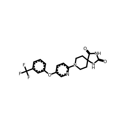 O=C1NC(=O)C2(CCN(c3ccc(Oc4cccc(C(F)(F)F)c4)cn3)CC2)N1